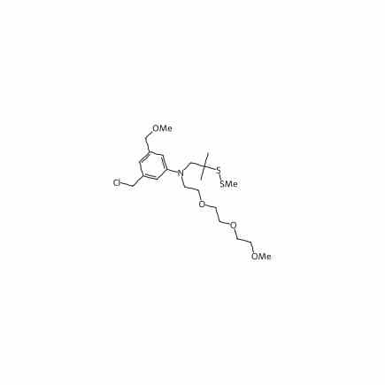 COCCOCCOCCN(CC(C)(C)SSC)c1cc(CCl)cc(COC)c1